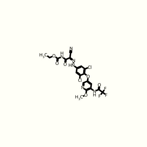 CCOC(=O)NC(=O)C(C#N)=NNc1cc(Cl)c(Oc2cnc(OC)c(NC(=O)C(F)(F)F)c2)c(Cl)c1